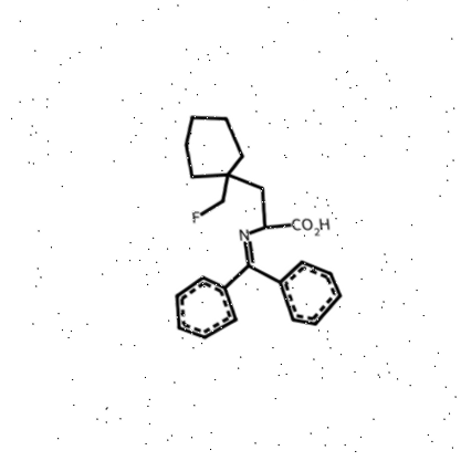 O=C(O)C(CC1(CF)CCCCC1)N=C(c1ccccc1)c1ccccc1